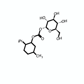 CC1CCC(C(C)C)C(OC(=O)O[C@H]2O[C@H](CO)[C@@H](O)[C@H](O)[C@H]2O)C1